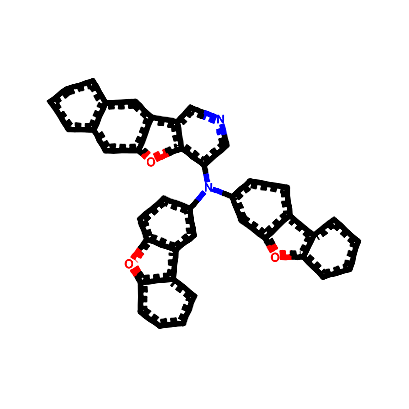 c1ccc2cc3c(cc2c1)oc1c(N(c2ccc4c(c2)oc2ccccc24)c2ccc4oc5ccccc5c4c2)cncc13